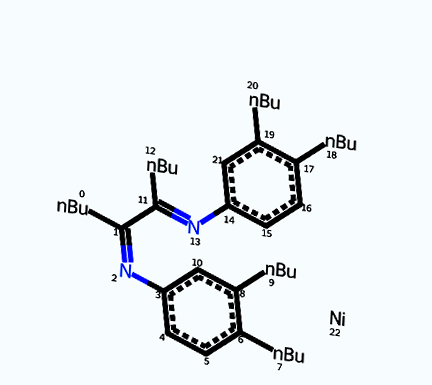 CCCCC(=Nc1ccc(CCCC)c(CCCC)c1)C(CCCC)=Nc1ccc(CCCC)c(CCCC)c1.[Ni]